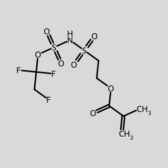 C=C(C)C(=O)OCCS(=O)(=O)NS(=O)(=O)OC(F)(F)CF